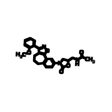 COc1ccccc1-c1noc2c1CCCc1ccc(N3CC(CNC(C)=O)OC3=O)cc1-2